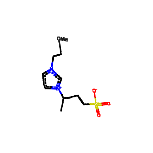 COCCn1cc[n+](C(C)CCS(=O)(=O)[O-])c1